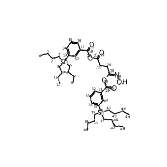 CCC[CH2][Sn]([CH2]CCC)([CH2]CCC)[c]1cccc(C(=O)OC(=O)CC/C(=N/O)OC(=O)c2ccc[c]([Sn]([CH2]CCC)([CH2]CCC)[CH2]CCC)c2)c1